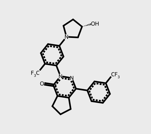 O=c1c2c(c(-c3cccc(C(F)(F)F)c3)nn1-c1cc(N3CC[C@H](O)C3)ccc1C(F)(F)F)CCC2